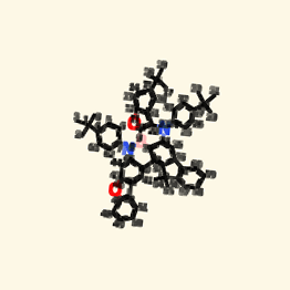 CC(C)(C)c1ccc(N2B3c4oc5ccc(C(C)(C)C)cc5c4N(c4ccc(C(C)(C)C)cc4)c4cc5c(c(c43)-c3cc4c(cc32)oc2ccccc24)C(C)(C)c2ccccc2-5)cc1